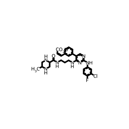 CC1CNC(C(=O)NCCCNc2nc(Nc3ccc(F)c(Cl)c3)ncc2-c2cccc(C=CC(=O)O)c2)CN1